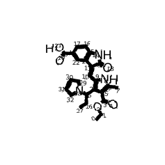 CCOC(=O)c1c(C)[nH]c(/C=C2\C(=O)Nc3ccc(C(=O)O)cc32)c1C(CC)N1CC=CC1